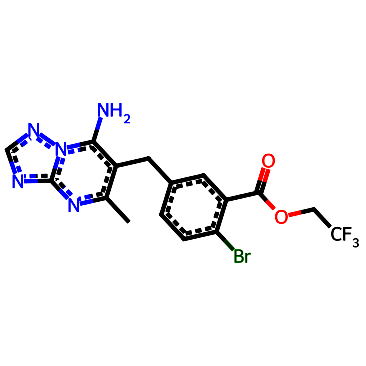 Cc1nc2ncnn2c(N)c1Cc1ccc(Br)c(C(=O)OCC(F)(F)F)c1